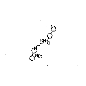 CCn1c2c(c3ccccc31)CCN(CCCCNC(=O)c1ccc(-c3cccnc3)cc1)C2